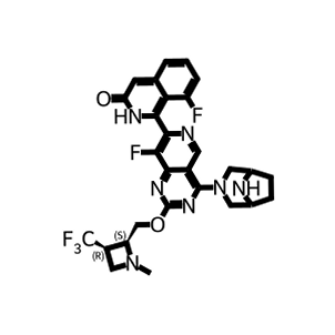 CN1C[C@@H](C(F)(F)F)[C@H]1COc1nc(N2CC3CCC(C2)N3)c2cnc(-c3[nH]c(=O)cc4cccc(F)c34)c(F)c2n1